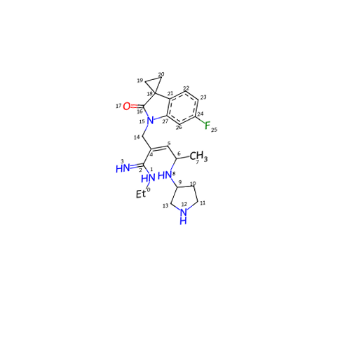 CCNC(=N)/C(=C\C(C)NC1CCNC1)CN1C(=O)C2(CC2)c2ccc(F)cc21